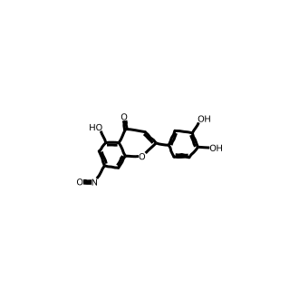 O=Nc1cc(O)c2c(=O)cc(-c3ccc(O)c(O)c3)oc2c1